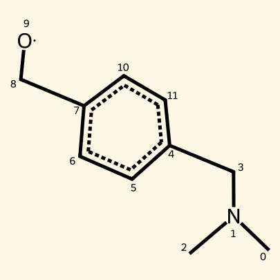 CN(C)Cc1ccc(C[O])cc1